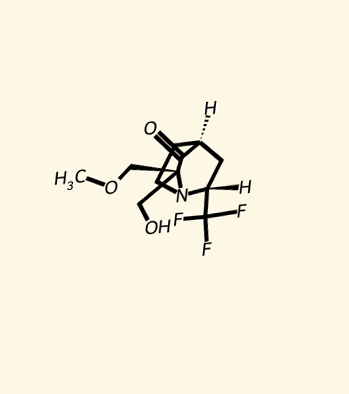 COC[C@@]1(CO)C(=O)[C@H]2CCN1[C@@H](C(F)(F)F)C2